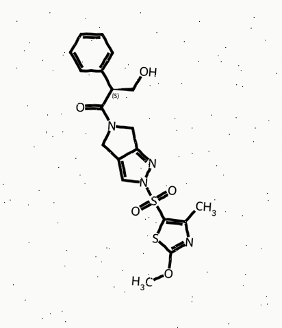 COc1nc(C)c(S(=O)(=O)n2cc3c(n2)CN(C(=O)[C@H](CO)c2ccccc2)C3)s1